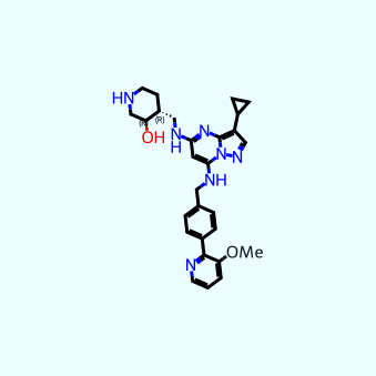 COc1cccnc1-c1ccc(CNc2cc(NC[C@H]3CCNC[C@@H]3O)nc3c(C4CC4)cnn23)cc1